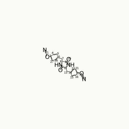 N#COc1ccc(CC2NC(=O)C(Cc3ccc(OC#N)cc3)NC2=O)cc1